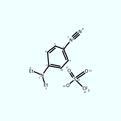 CCN(CC)c1ccc([N+]#N)cc1.O=S(=O)([O-])C(F)(F)F